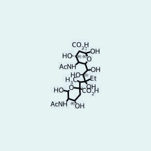 CCC(O)(C(C)[C@]1(C(=O)O)C[C@@H](O)C(NC(C)=O)C(O)O1)[C@@H](O)C(O)C1O[C@@](O)(C(=O)O)C[C@@H](O)C1NC(C)=O